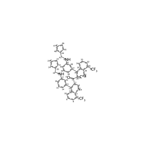 O=C(c1cnc2c(C(F)(F)F)cccc2c1-c1cccc(NCc2ccsc2)c1)c1cnc2c(C(F)(F)F)cccc2c1-c1cccc(NCc2ccsc2)c1